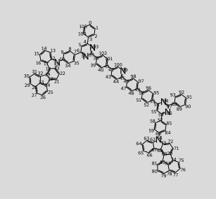 c1ccc(-c2cc(-c3ccc(-n4c5ccccc5c5c6c(ccc54)-c4cccc5cccc-6c45)cc3)nc(-c3ccc(-c4ccc(-c5ccc(-c6ccc(-c7cc(-c8ccc(-n9c%10ccccc%10c%10c%11c(ccc%109)-c9cccc%10cccc-%11c9%10)cc8)nc(-c8ccccc8)n7)cc6)cc5)nc4)cc3)n2)cc1